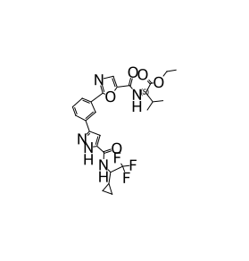 CCOC(=O)[C@@H](NC(=O)c1cnc(-c2cccc(-c3cc(C(=O)NC(C4CC4)C(F)(F)F)[nH]n3)c2)o1)C(C)C